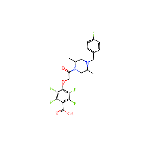 CC1CN(C(=O)COc2c(F)c(F)c(C(=O)O)c(F)c2F)C(C)CN1Cc1ccc(F)cc1